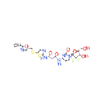 CC(C)(C)c1ncc(CSc2cnc(NC(=O)CC(=O)Nc3ccn([C@@H]4O[C@H](CO)C(O)C4(F)F)c(=O)n3)s2)o1